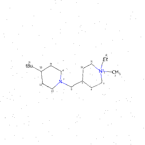 CC[N+]1(C)CCC(CN2CCC(C(C)(C)C)CC2)CC1